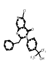 O=c1c2cc(Cl)ncc2nc(Cc2ccccc2)n1-c1ccc(C(O)(C(F)(F)F)C(F)(F)F)cc1